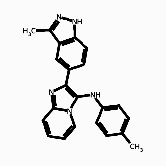 Cc1ccc(Nc2c(-c3ccc4[nH]nc(C)c4c3)nc3ccccn23)cc1